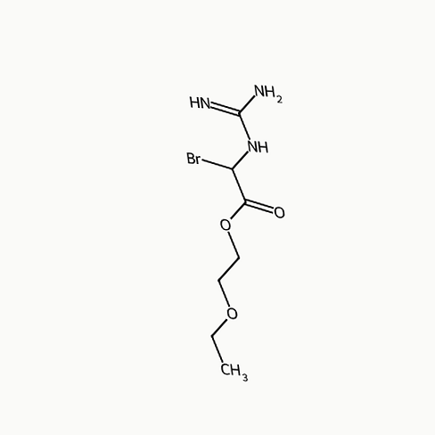 CCOCCOC(=O)C(Br)NC(=N)N